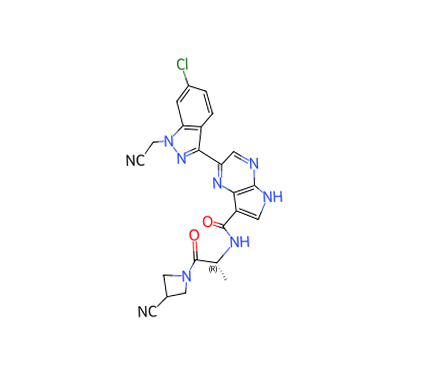 C[C@@H](NC(=O)c1c[nH]c2ncc(-c3nn(CC#N)c4cc(Cl)ccc34)nc12)C(=O)N1CC(C#N)C1